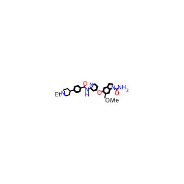 CCN1CCC(c2ccc(C(=O)Nc3cc(Oc4cc5ccn(C(N)=O)c5cc4COC)ccn3)cc2)CC1